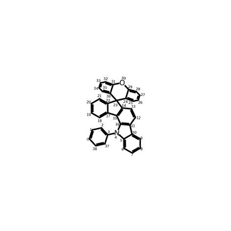 c1ccc(-n2c3ccccc3c3ccc4c(c32)-c2ccccc2C42c3ccccc3Oc3ccccc32)cc1